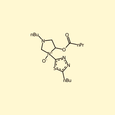 CCCCc1nnc([N+]2([O-])CN(CCCC)CC2OC(=O)CCC)s1